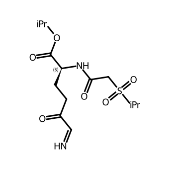 CC(C)OC(=O)[C@H](CCC(=O)C=N)NC(=O)CS(=O)(=O)C(C)C